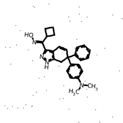 CN(C)c1ccc(C2(c3ccccc3)C=Cc3c(/C(=N/O)C4CCC4)n[nH]c3C2)cc1